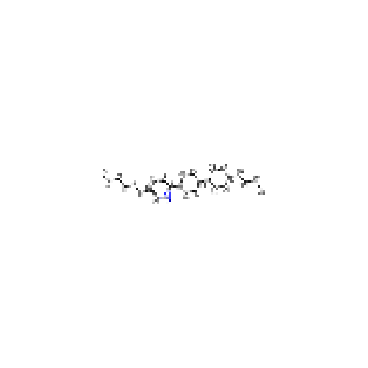 CCCCCCc1ccc(C2CCC(C3CCC(CCCC)CC3)CC2)nc1